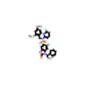 COc1ccc(CN(c2cccc(F)n2)S(=O)(=O)c2cc3oc(=O)n(C(C)c4ccccc4I)c3cc2F)c(OC)c1